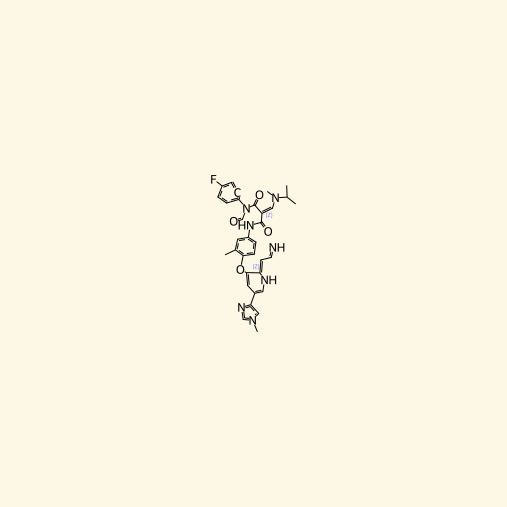 Cc1cc(NC(=O)/C(=C/N(C)C(C)C)C(=O)N(C=O)c2ccc(F)cc2)ccc1OC1=CC(c2cn(C)cn2)=CN/C1=C\C=N